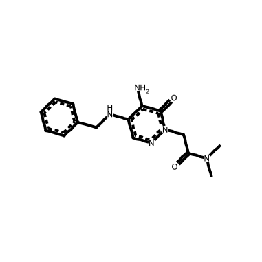 CN(C)C(=O)Cn1ncc(NCc2ccccc2)c(N)c1=O